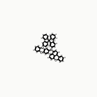 c1ccc(C2(c3ccccc3)c3ccccc3-c3ccc(N(c4ccc5c(c4)Oc4ccccc4O5)c4ccc5c6c(cccc46)Oc4ccccc4-5)cc32)cc1